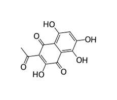 CC(=O)C1=C(O)C(=O)c2c(O)c(O)cc(O)c2C1=O